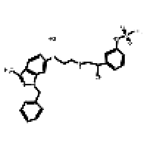 Cc1nn(Cc2ccccc2)c2cc(OCCNCC(O)c3cccc(NS(C)(=O)=O)c3)ccc12.Cl